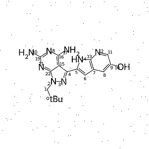 CC(C)(C)Cn1nc(-c2cc3cc(O)cnc3[nH]2)c2c(N)nc(N)nc21